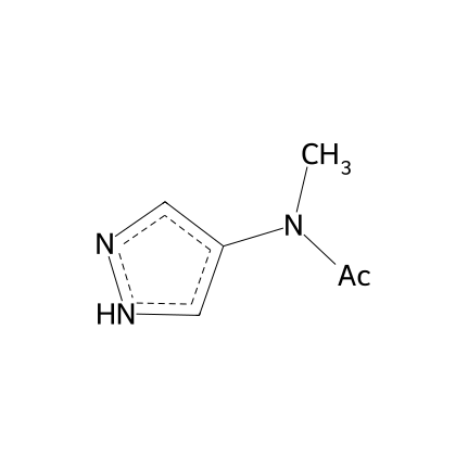 CC(=O)N(C)c1cn[nH]c1